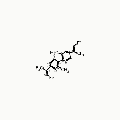 Cc1cc(/C(=C/F)C(F)(F)F)ccc1-c1ccc(/C(=C\F)C(F)(F)F)cc1C